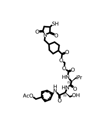 CC(=O)OCc1ccc(NC(=O)[C@H](CO)NC(=O)[C@@H](NC(=O)OCOC(=O)C2CCC(CN3C(=O)CC(S)C3=O)CC2)C(C)C)cc1